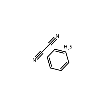 N#CC#N.S.c1ccccc1